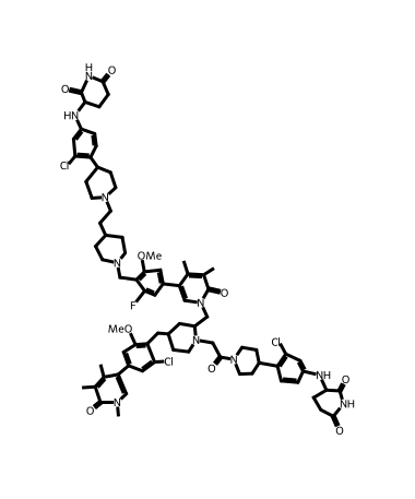 COc1cc(-c2cn(CC3CC(Cc4c(Cl)cc(-c5cn(C)c(=O)c(C)c5C)cc4OC)CCN3CC(=O)N3CCC(c4ccc(NC5CCC(=O)NC5=O)cc4Cl)CC3)c(=O)c(C)c2C)cc(F)c1CN1CCC(CCN2CCC(c3ccc(NC4CCC(=O)NC4=O)cc3Cl)CC2)CC1